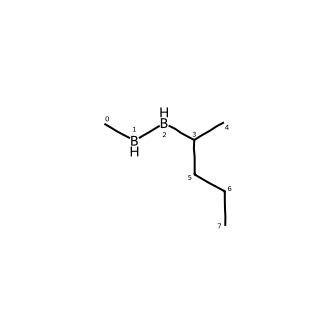 CBBC(C)CCC